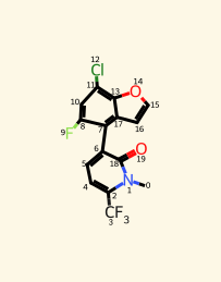 Cn1c(C(F)(F)F)ccc(-c2c(F)cc(Cl)c3occc23)c1=O